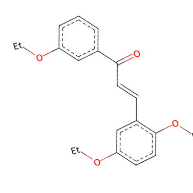 CCOc1cccc(C(=O)C=Cc2cc(OCC)ccc2OCC)c1